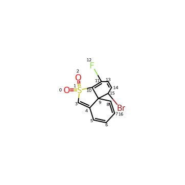 O=S1(=O)C=C2C=CC=CC23C1=C(F)C=CC3Br